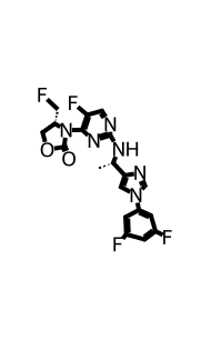 C[C@H](Nc1ncc(F)c(N2C(=O)OC[C@@H]2CF)n1)c1cn(-c2cc(F)cc(F)c2)cn1